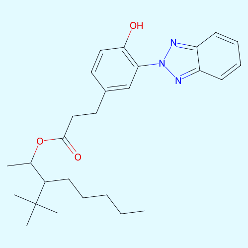 CCCCCC(C(C)OC(=O)CCc1ccc(O)c(-n2nc3ccccc3n2)c1)C(C)(C)C